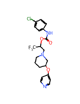 O=C(Nc1ccc(Cl)cc1)OC(CN1CCCC(Oc2ccncc2)C1)C(F)(F)F